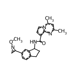 CON1C=C1c1ccc2c(c1)C(NC(=O)c1ccn3c(C)cc(C)nc13)CC2